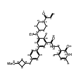 C=CC(=O)N1CCC(N(CC)c2cc(-c3ccc(CC4CC(OC)C4)cc3)cc(C(=O)NCc3c(C)cc(C)[nH]c3=O)c2C)CC1